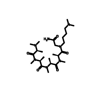 C[C@@H](C(=O)N(C)[C@@H](C)C(=O)N(C)[C@@H](C)C(=O)N(C)[C@@H](C)C(=O)N(CCCCN(C)C)CC(N)=O)N(C)C